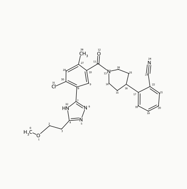 COCCc1nnc(-c2cc(C(=O)N3CCC(c4ccccc4C#N)CC3)c(C)cc2Cl)[nH]1